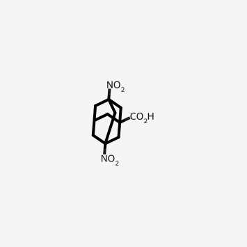 O=C(O)C12CC3CC([N+](=O)[O-])(C1)CC([N+](=O)[O-])(C3)C2